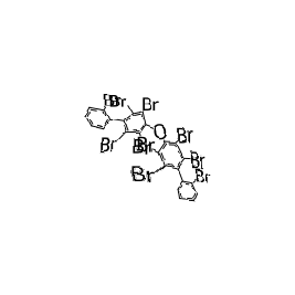 Brc1ccccc1-c1c(Br)c(Br)c(Oc2c(Br)c(Br)c(-c3ccccc3Br)c(Br)c2Br)c(Br)c1Br